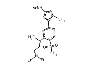 CCN(CC)CCN(C)c1cc(-c2sc(NC(C)=O)nc2C)ccc1S(C)(=O)=O